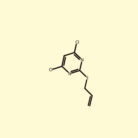 C=CCSc1nc(Cl)cc(Cl)n1